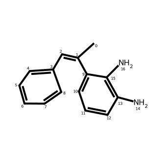 CC(=Cc1ccccc1)c1cccc(N)c1N